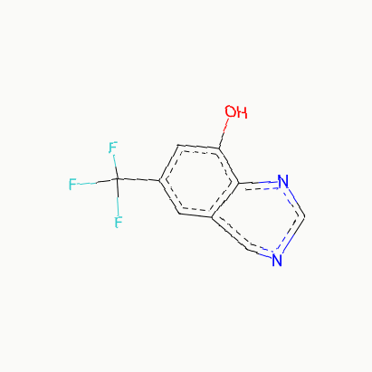 Oc1cc(C(F)(F)F)cc2cncnc12